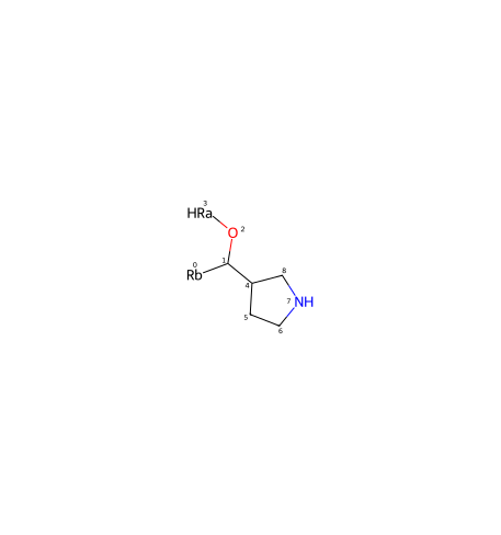 [Rb][CH]([O][RaH])C1CCNC1